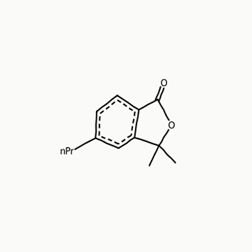 CCCc1ccc2c(c1)C(C)(C)OC2=O